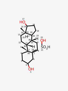 C[C@]12CCC(O)CC1=CC[C@@H]1[C@H]2CC[C@]2(C)C(O)CC[C@@H]12.O=S(=O)(O)O